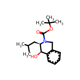 CC(C)C[C@@H]1[C@H](O)c2ccccc2CN1C(=O)OC(C)(C)C